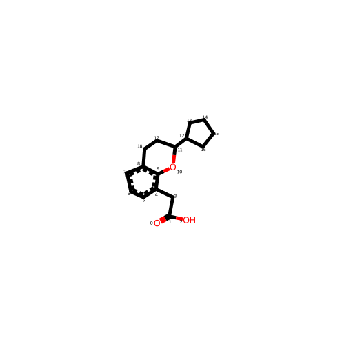 O=C(O)Cc1cccc2c1OC(C1CCCC1)CC2